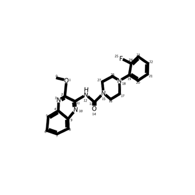 COc1nc2ccccc2nc1NC(=O)N1CCN(c2ccccc2F)CC1